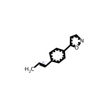 [CH2]/C=C/c1ccc(-c2ccno2)cc1